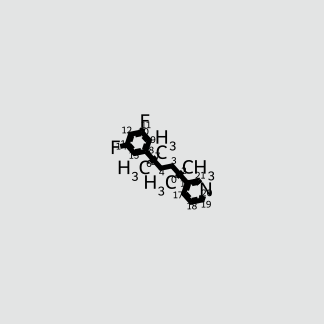 CC(C)(CCC(C)(C)c1cc(F)cc(F)c1)c1cccnc1